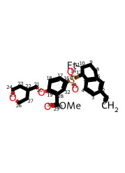 C=Cc1ccc2c(c1)CC[C@@H](CC)C2S(=O)(=O)c1ccc(OCC2CCOCC2)c(C(=O)OC)c1